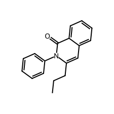 CCCc1cc2ccccc2c(=O)n1-c1ccccc1